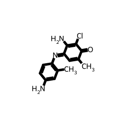 CC1=CC(=Nc2ccc(N)cc2C)C(N)=C(Cl)C1=O